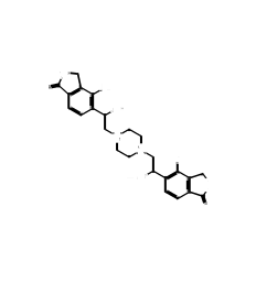 O=C1OCc2c1ccc(C(O)CN1CCN(CC(O)c3ccc4c(c3Br)COC4=O)CC1)c2Br